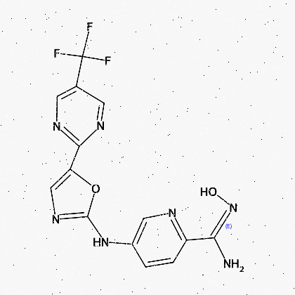 N/C(=N/O)c1ccc(Nc2ncc(-c3ncc(C(F)(F)F)cn3)o2)cn1